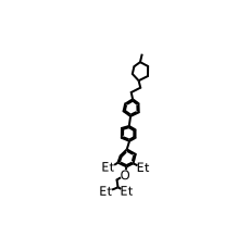 CCc1cc(-c2ccc(-c3ccc(CCC4CCC(C)CC4)cc3)cc2)cc(CC)c1OCC(CC)CC